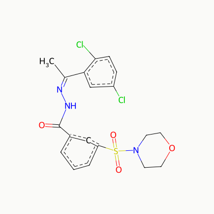 CC(=NNC(=O)c1cccc(S(=O)(=O)N2CCOCC2)c1)c1cc(Cl)ccc1Cl